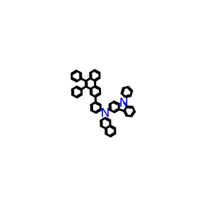 c1ccc(-c2c(-c3ccccc3)c3cc(-c4cccc(N(c5ccc6ccccc6c5)c5ccc6c(c5)c5ccccc5n6-c5ccccc5)c4)ccc3c3ccccc23)cc1